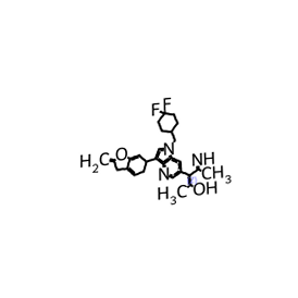 C=C1CC2=CCC(c3cn(CC4CCC(F)(F)CC4)c4cc(/C(C(C)=N)=C(\C)O)cnc34)C=C2O1